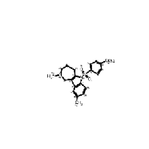 COc1ccc(S(=O)(=O)n2c3c(c4cc(C)ccc42)CN(C)CCC3)cc1